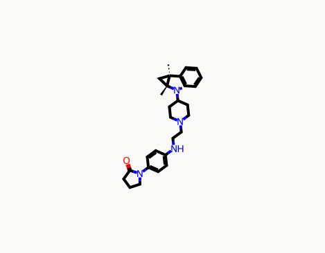 CN(C1CCN(CCNc2ccc(N3CCCC3=O)cc2)CC1)[C@]1(C)C[C@@]1(C)c1ccccc1